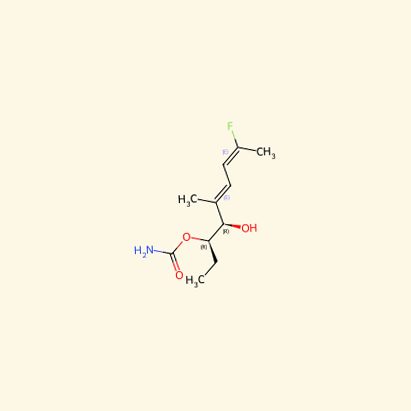 CC[C@@H](OC(N)=O)[C@H](O)/C(C)=C/C=C(\C)F